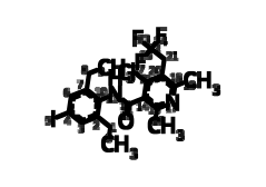 CCc1cc(I)cc(CC)c1NC(=O)c1c(C)nc(C)c(CC(F)(F)F)c1Cl